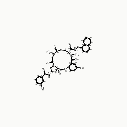 CN1CC(=O)N2C[C@@H](NC(=O)c3cccc(Cl)c3)C[C@H]2COc2ccc(F)cc2C(=O)N(C)[C@H](C(=O)NCc2cccc3ccccc23)CCC1=O